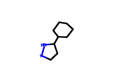 C1CCC(C2CC[N]N2)CC1